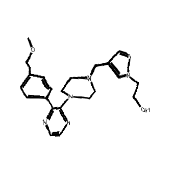 COCc1ccc(-c2nccnc2N2CCN(Cc3cnn(CCO)c3)CC2)cc1